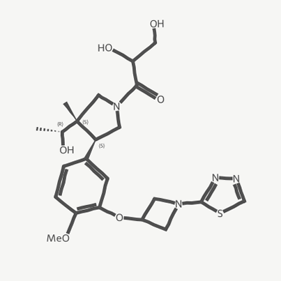 COc1ccc([C@@H]2CN(C(=O)C(O)CO)C[C@@]2(C)[C@@H](C)O)cc1OC1CN(c2nncs2)C1